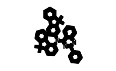 CC1(C)c2ccccc2-c2ccc(N(c3cccc4c3-c3ccccc3C4(C)C)c3nc(-c4ccccc4)nc4ccccc34)cc21